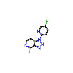 Cc1nccc2c1nnn2-c1ccc(F)cn1